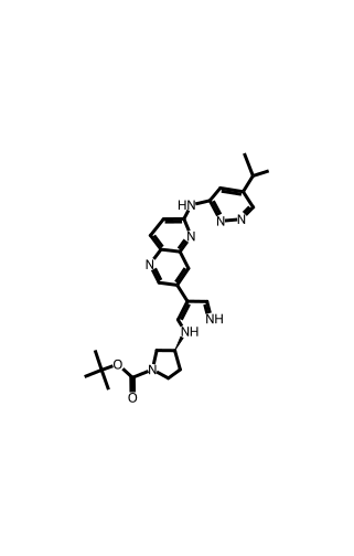 CC(C)c1cnnc(Nc2ccc3ncc(/C(C=N)=C/N[C@H]4CCN(C(=O)OC(C)(C)C)C4)cc3n2)c1